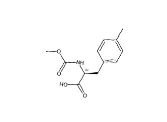 COC(=O)N[C@@H](Cc1ccc(C)cc1)C(=O)O